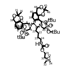 CC(C)(C)OP(=O)(CN(Cc1cccc2c1OC(C)(C)OC2)C[C@H](CCCCNC(=O)OCC[Si](C)(C)C)N(Cc1cccc2c1OC(C)(C)OC2)CP(=O)(OC(C)(C)C)OC(C)(C)C)OC(C)(C)C